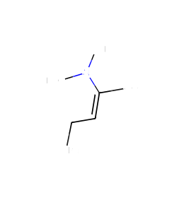 CN(C)C(=CCC(C)(C)C)C(=O)O